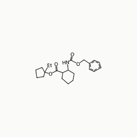 CCC1(OC(=O)C2CCCCC2NC(=O)OCc2ccccc2)CCCC1